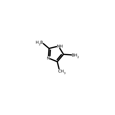 Bc1nc(C)c(B)[nH]1